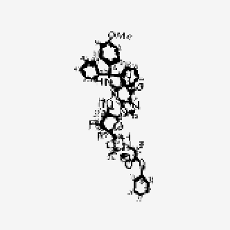 COc1ccc(C(Nc2nc3c(ncn3[C@@H]3O[C@](F)(COP(C)(=O)N[C@@H](C)C(=O)OC4CCCCC4)[C@@H](F)[C@@]3(C)O)c(=O)[nH]2)(c2ccccc2)c2ccccc2)cc1